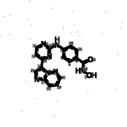 O=C(NO)c1ccc(Nc2nccc(-c3cnc4cccnn34)n2)cc1